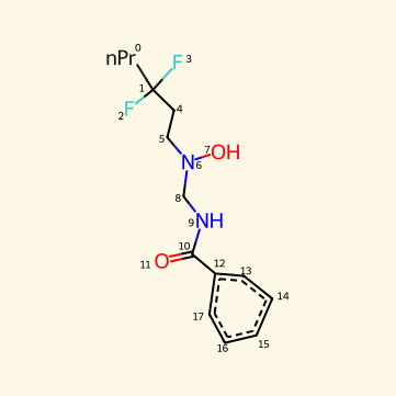 CCCC(F)(F)CCN(O)CNC(=O)c1ccccc1